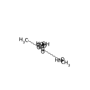 CCCCCCCCCC(=O)O[C@H](COC(=O)CCCCCCCCCCCCCNC(C)=O)COP(=O)(O)O